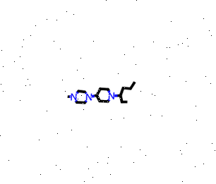 CCCC(CC)N1CCC(N2CCN(C)CC2)CC1